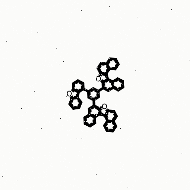 c1ccc2c(c1)ccc1oc3c(-c4cc(-c5cc6ccccc6c6c5oc5ccc7ccccc7c56)cc(-c5cccc6oc7ccccc7c56)c4)cc4ccccc4c3c12